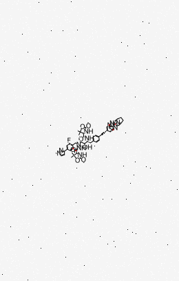 COC(=O)N[C@H](C(=O)N[C@@H](Cc1ccc(C#Cc2ccc(N3CC4CCC(C3)N4c3ncccn3)nc2)cc1)[C@@H](O)CN(Cc1c(F)cc(-c2ccn(C)n2)cc1F)NC(=O)[C@@H](NC(=O)OC)C(C)(C)C)C(C)(C)C